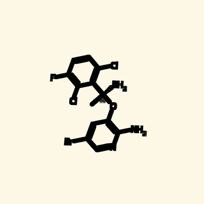 B[C@](C)(Oc1cc(Br)cnc1N)c1c(Cl)ccc(F)c1Cl